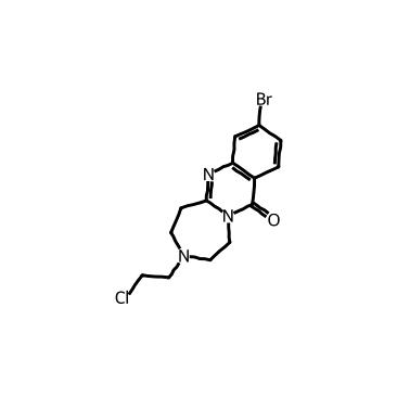 O=c1c2ccc(Br)cc2nc2n1CCN(CCCl)CC2